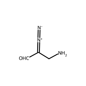 [N-]=[N+]=C(C=O)CN